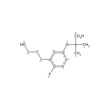 CC(C)(Oc1ccc(F)c(CCCO)c1)C(=O)O